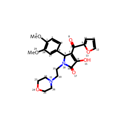 COc1ccc(C2C(C(=O)c3ccco3)=C(O)C(=O)N2CCN2CCOCC2)cc1OC